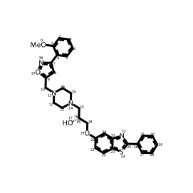 COc1ccccc1-c1cc(CN2CCN(C[C@@H](O)COc3ccc4sc(-c5ccccc5)nc4c3)CC2)on1